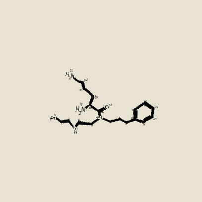 CC(C)CCNCCN(CCCc1ccccc1)C(=O)[C@@H](N)CCCN